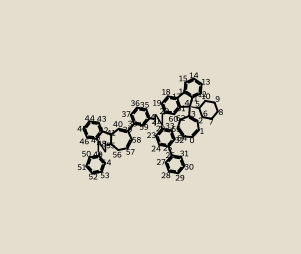 C1=CC=C([C@@]2(C3CCCCC3)c3ccccc3-c3ccc(N(c4ccc(-c5ccccc5)cc4)c4cccc(C5=CC6c7ccccc7N(c7ccccc7)C6CC=C5)c4)cc32)CC=C1